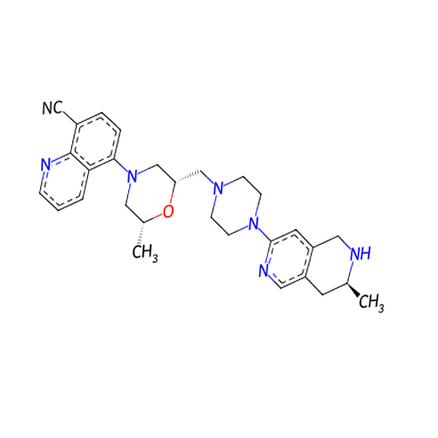 C[C@@H]1CN(c2ccc(C#N)c3ncccc23)C[C@H](CN2CCN(c3cc4c(cn3)C[C@H](C)NC4)CC2)O1